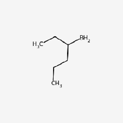 BC(CC)CCC